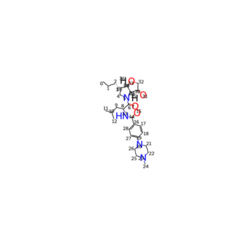 CCC[C@H]1CN(C(=O)C(CC(C)C)NC(=O)c2ccc(N3CCN(C)CC3)cc2)[C@@H]2C(=O)CO[C@H]12